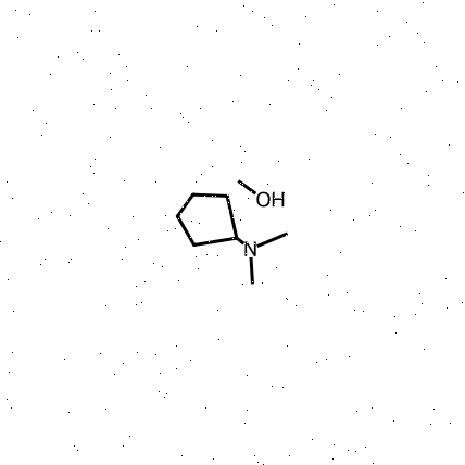 CN(C)C1CCCC1.CO